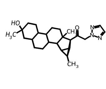 CC1(O)CCC2C(CCC3C2CCC2(C)C3C3C4C3(C)C42C(=O)Cn2nccn2)C1